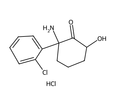 Cl.NC1(c2ccccc2Cl)CCCC(O)C1=O